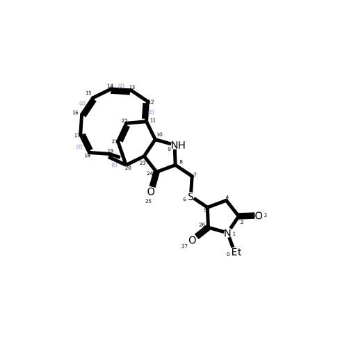 CCN1C(=O)CC(SCC2NC3/C4=C/C=C\C=C/C=C\C=C(C=C4)\C3C2=O)C1=O